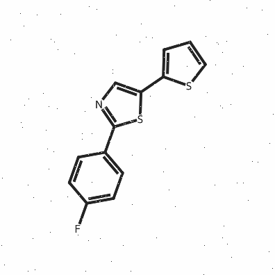 Fc1ccc(-c2ncc(-c3cccs3)s2)cc1